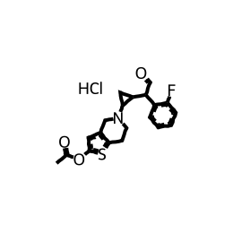 CC(=O)Oc1cc2c(s1)CCN(C1CC1C(C=O)c1ccccc1F)C2.Cl